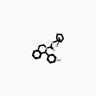 Cl.O=C(O[C@@H]1CN2CCC1CC2)N1CCc2ccccc2C1c1ccccc1